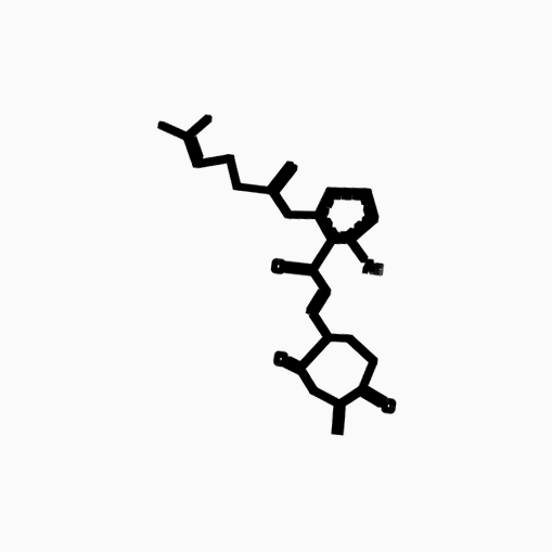 C=C(CCC=C(C)C)Cc1cccc(C(C)=O)c1C(=O)/C=C/C1CCC(=O)C(=C)CC1=O